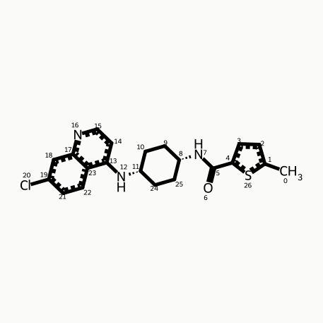 Cc1ccc(C(=O)N[C@H]2CC[C@@H](Nc3ccnc4cc(Cl)ccc34)CC2)s1